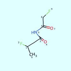 CC(F)C(=O)NC(=O)CF